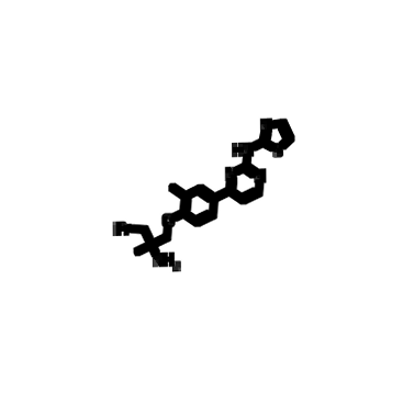 Cc1cc(-c2ccnc(Nc3nccs3)n2)ccc1OCC(C)(N)CC(C)C